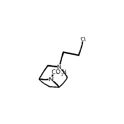 O=C(O)N1C2CC1CN(CCCl)C2